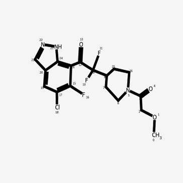 COCC(=O)N1CCC(C(F)(F)C(=O)c2c(F)c(Cl)cc3cn[nH]c23)CC1